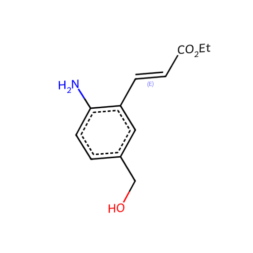 CCOC(=O)/C=C/c1cc(CO)ccc1N